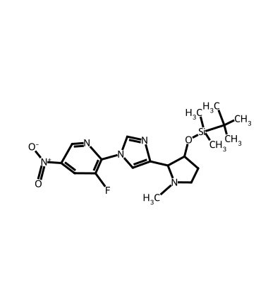 CN1CCC(O[Si](C)(C)C(C)(C)C)C1c1cn(-c2ncc([N+](=O)[O-])cc2F)cn1